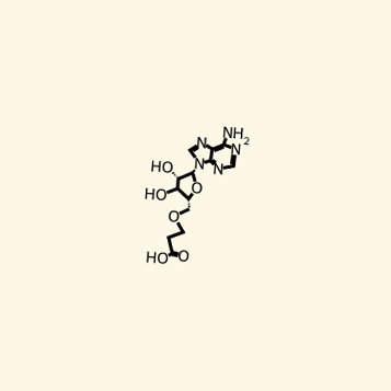 Nc1ncnc2c1ncn2[C@@H]1O[C@H](COCCC(=O)O)C(O)[C@@H]1O